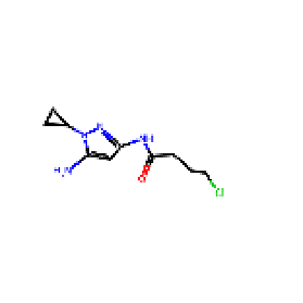 Nc1cc(NC(=O)CCCCl)nn1C1CC1